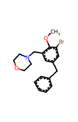 COc1c(Br)cc(Cc2ccccc2)cc1CN1CCOCC1